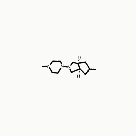 CC1C[C@@H]2CN(N3CCN(C)CC3)C[C@@H]2C1